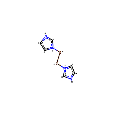 c1cn(SSn2ccnc2)cn1